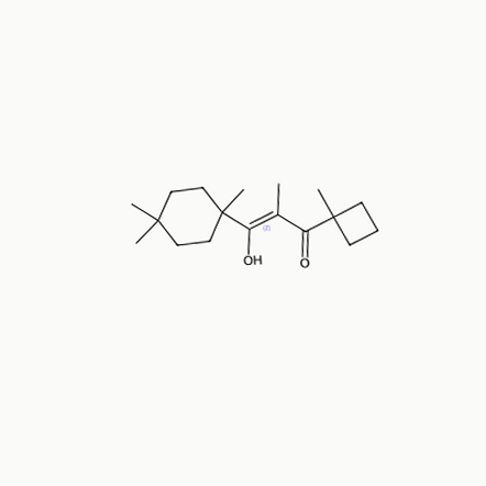 C/C(C(=O)C1(C)CCC1)=C(/O)C1(C)CCC(C)(C)CC1